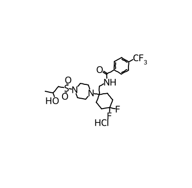 CC(O)CS(=O)(=O)N1CCN(C2(CNC(=O)c3ccc(C(F)(F)F)cc3)CCC(F)(F)CC2)CC1.Cl